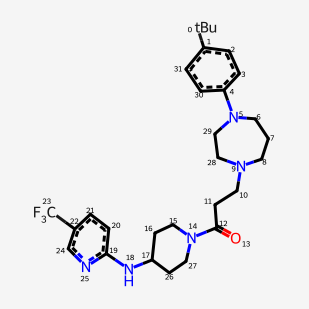 CC(C)(C)c1ccc(N2CCCN(CCC(=O)N3CCC(Nc4ccc(C(F)(F)F)cn4)CC3)CC2)cc1